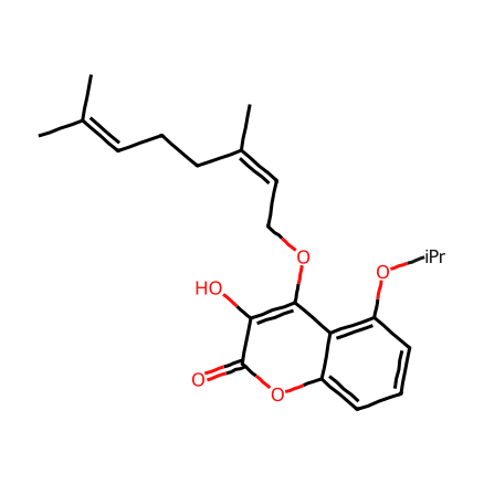 CC(C)=CCCC(C)=CCOc1c(O)c(=O)oc2cccc(OC(C)C)c12